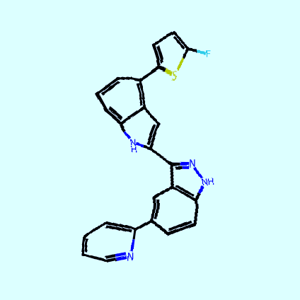 Fc1ccc(-c2cccc3[nH]c(-c4n[nH]c5ccc(-c6ccccn6)cc45)cc23)s1